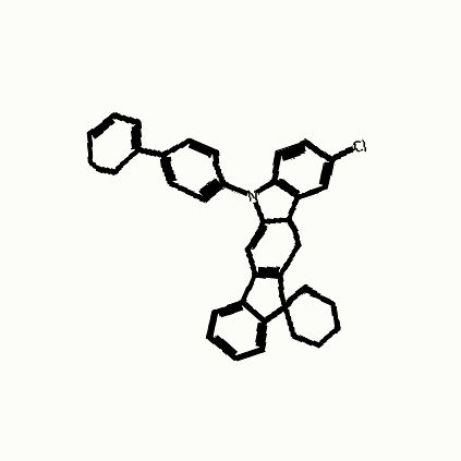 Clc1ccc2c(c1)C1CC3=C(C=C1N2c1ccc(C2=CC=CCC2)cc1)c1ccccc1C31CCCCC1